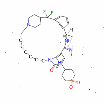 C=Nc1c2cc(C3CCS(=O)(=O)CC3)c(=O)n1CCCCCCCN1CCC(CC1)C(F)(F)c1cccc(c1)[C@@H](C)N/C2=N/C